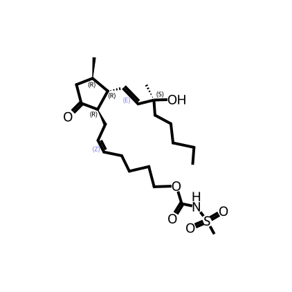 CCCCC[C@](C)(O)/C=C/[C@H]1[C@H](C)CC(=O)[C@@H]1C/C=C\CCCCOC(=O)NS(C)(=O)=O